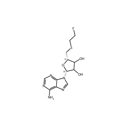 Nc1ncnc2c1ncn2[C@@H]1O[C@H](CSCCF)C(O)C1O